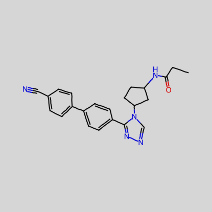 CCC(=O)NC1CCC(n2cnnc2-c2ccc(-c3ccc(C#N)cc3)cc2)C1